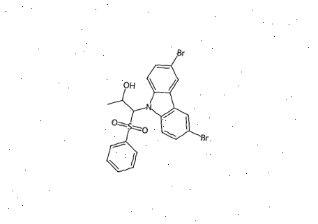 CC(O)C(n1c2ccc(Br)cc2c2cc(Br)ccc21)S(=O)(=O)c1ccccc1